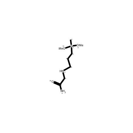 CO[Si](C)(CCCNCC(N)=O)OC